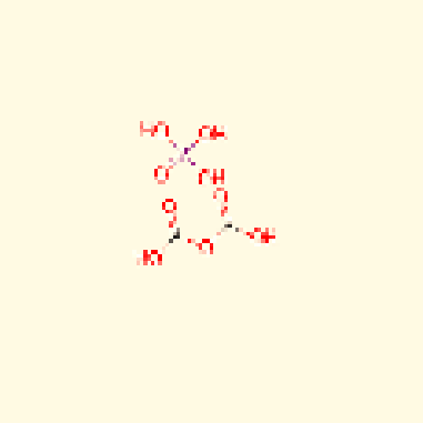 O=C(O)OC(=O)O.O=P(O)(O)O